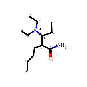 CCCCC(C(N)=O)C(CC)N(CC)CC